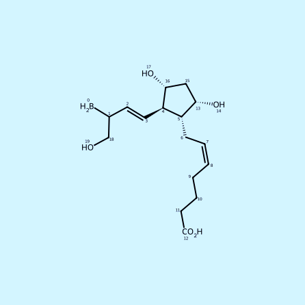 BC(/C=C/[C@@H]1[C@@H](C/C=C\CCCC(=O)O)[C@@H](O)C[C@H]1O)CO